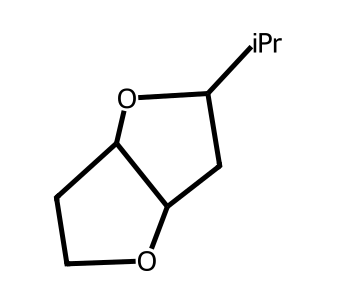 CC(C)C1CC2OCCC2O1